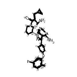 NC(=O)/C(=C\C1CC1)C(=O)N1CCC[C@@H](n2nc(-c3ccc(Oc4cc(F)ccc4F)cc3)c3c(N)ncnc32)C1